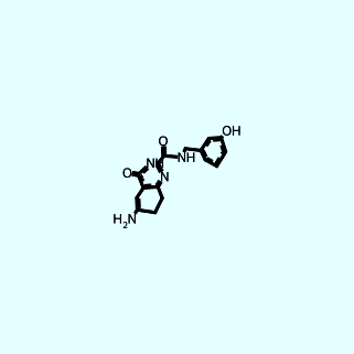 NC1=Cc2c(nc(C(=O)NCc3cccc(O)c3)[nH]c2=O)CC1